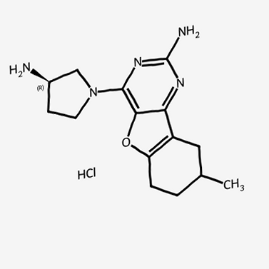 CC1CCc2oc3c(N4CC[C@@H](N)C4)nc(N)nc3c2C1.Cl